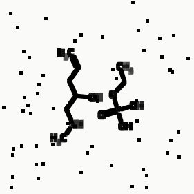 C=CCC(O)CNC.CCOP(=O)(O)O